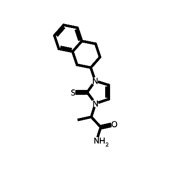 CC(C(N)=O)n1ccn(C2CCc3ccccc3C2)c1=S